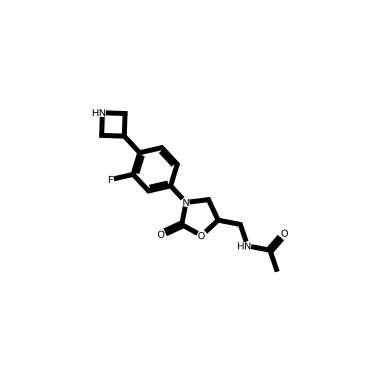 CC(=O)NCC1CN(c2ccc(C3CNC3)c(F)c2)C(=O)O1